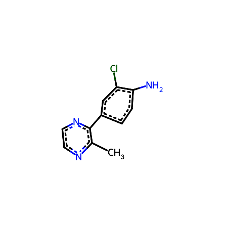 Cc1nccnc1-c1ccc(N)c(Cl)c1